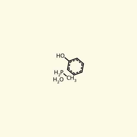 CP.O.Oc1ccccc1